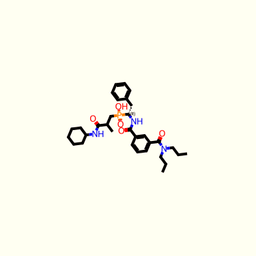 CCCN(CCC)C(=O)c1cccc(C(=O)N[C@@H](Cc2ccccc2)P(=O)(O)CC(C)C(=O)NC2CCCCC2)c1